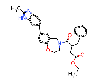 CCOC(=O)CC(Cc1ccccc1)C(=O)N1CCOc2ccc(-c3ccc4nc(C)[nH]c4c3)cc2C1